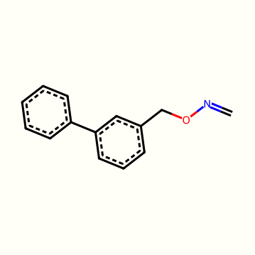 C=NOCc1cccc(-c2ccccc2)c1